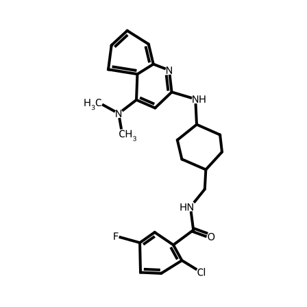 CN(C)c1cc(NC2CCC(CNC(=O)c3cc(F)ccc3Cl)CC2)nc2ccccc12